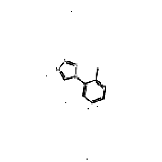 Cc1ccccc1-n1[c]nnn1